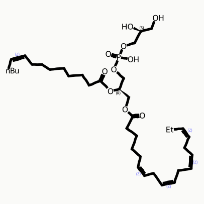 CC/C=C\C/C=C\C/C=C\C/C=C\CCCCC(=O)OC[C@H](COP(=O)(O)OC[C@@H](O)CO)OC(=O)CCCCCCC/C=C\CCCC